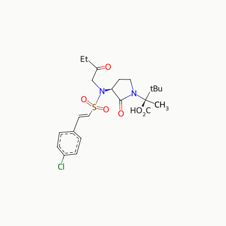 CCC(=O)CN([C@H]1CCN([C@](C)(C(=O)O)C(C)(C)C)C1=O)S(=O)(=O)C=Cc1ccc(Cl)cc1